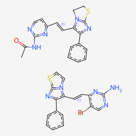 CC(=O)Nc1nccc(/C=C/c2c(-c3ccccc3)nc3n2CCS3)n1.Nc1ncc(Br)c(/C=C/c2c(-c3ccccc3)nc3sccn23)n1